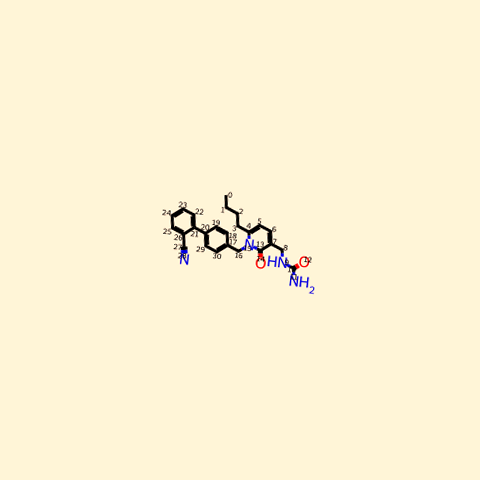 CCCCc1ccc(CNC(N)=O)c(=O)n1Cc1ccc(-c2ccccc2C#N)cc1